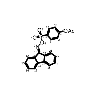 CC(=O)Oc1ccc(S(=O)(=O)ON=C2c3ccccc3-c3ccccc32)cc1